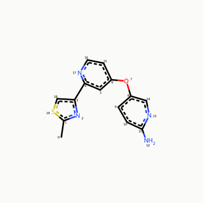 Cc1nc(-c2cc(Oc3ccc(N)nc3)ccn2)cs1